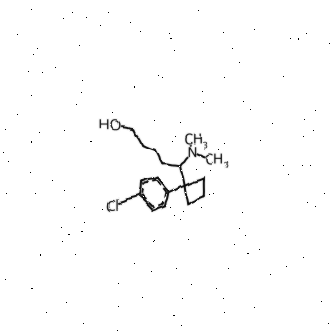 CN(C)C(CCCCO)C1(c2ccc(Cl)cc2)CCC1